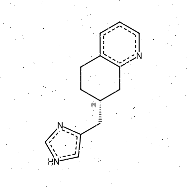 c1cnc2c(c1)CC[C@@H](Cc1c[nH]cn1)C2